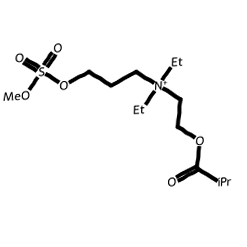 CC[N+](CC)(CCCOS(=O)(=O)OC)CCOC(=O)C(C)C